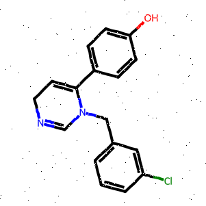 Oc1ccc(C2=CCN=CN2Cc2cccc(Cl)c2)cc1